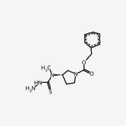 CN(C(=S)NN)[C@@H]1CCN(C(=O)OCc2ccccc2)C1